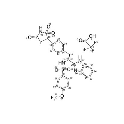 O=C(O)C(F)(F)F.O=C1CC(c2ccc(C[C@H](NS(=O)(=O)c3ccc(OC(F)(F)F)cc3)c3nc4ccccc4[nH]3)cc2)S(=O)(=O)N1